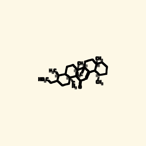 C[C@@H]1C(CC(=O)O)CC[C@@]2(C)C1CC[C@]1(C)C2C(=O)C=C2C3[C@@H](C)CCC[C@]3(C)CC[C@]21C